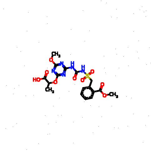 COC(=O)c1ccccc1CS(=O)(=O)NC(=O)Nc1nc(OC)nc(OC(C)C(=O)O)n1